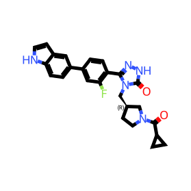 O=C(C1CC1)N1CC[C@@H](Cn2c(-c3ccc(-c4ccc5[nH]ccc5c4)cc3F)n[nH]c2=O)C1